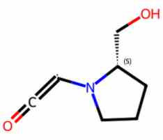 O=C=[C]N1CCC[C@H]1CO